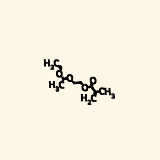 C=COC(C)OCCOC(=O)C(=C)C